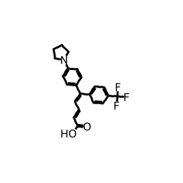 O=C(O)C=CC=C(c1ccc(N2CCCC2)cc1)c1ccc(C(F)(F)F)cc1